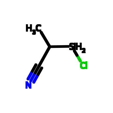 CC(C#N)[SiH2]Cl